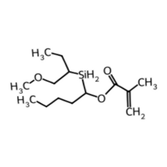 C=C(C)C(=O)OC(CCCC)[SiH2]C(CC)COC